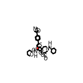 O=C=C1CN(NC2CCCCC2)CCC(CC(=O)NOC2CCCCO2)(c2ccc(-c3ccc(-c4cnco4)cc3)s2)S1(=O)=O